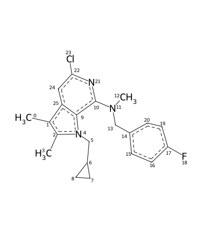 Cc1c(C)n(CC2CC2)c2c(N(C)Cc3ccc(F)cc3)nc(Cl)cc12